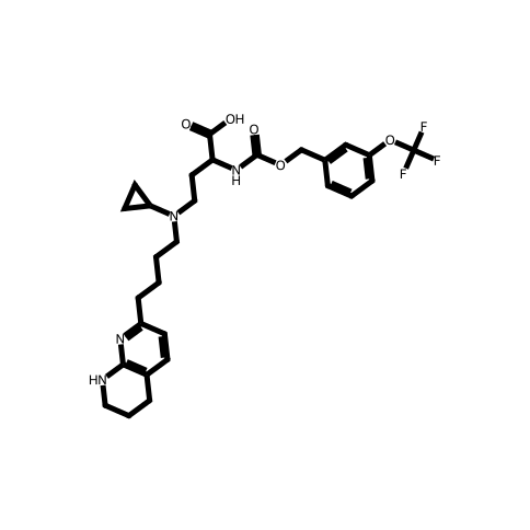 O=C(NC(CCN(CCCCc1ccc2c(n1)NCCC2)C1CC1)C(=O)O)OCc1cccc(OC(F)(F)F)c1